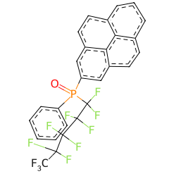 O=P(c1ccccc1)(c1cc2ccc3cccc4ccc(c1)c2c34)C(F)(F)C(F)(F)C(F)(F)C(F)(F)C(F)(F)F